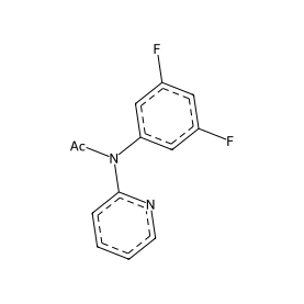 CC(=O)N(c1cc(F)cc(F)c1)c1ccccn1